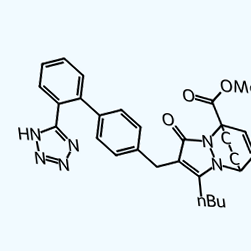 CCCCc1c(Cc2ccc(-c3ccccc3-c3nnn[nH]3)cc2)c(=O)n2n1C1C=CC2(C(=O)OC)CC1